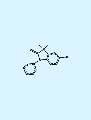 C=C1N(c2ccccc2)c2ccc(Br)cc2C1(C)C